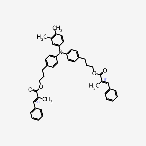 C/C(=C\c1ccccc1)C(=O)OCCCc1ccc(N(c2ccc(CCCOC(=O)/C(C)=C/c3ccccc3)cc2)c2ccc(C)c(C)c2)cc1